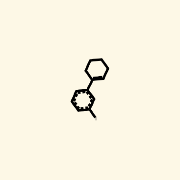 Ic1cccc(C2=CCCCC2)c1